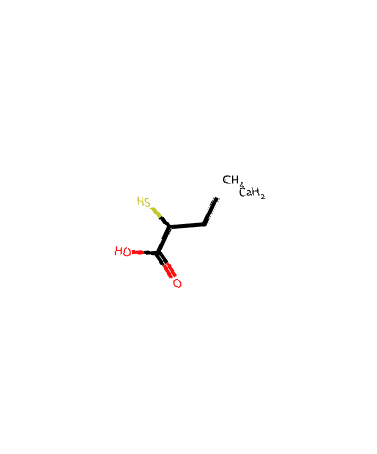 C.CCC(S)C(=O)O.[CaH2]